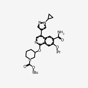 CC(C)Oc1cc2c(OC3CCCN(C(=O)OC(C)(C)C)C3)ncc(-c3cnn(C4CC4)c3)c2cc1C(N)=O